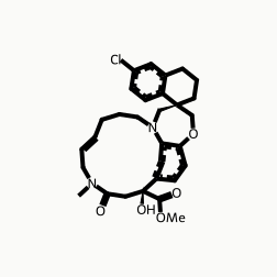 COC(=O)[C@]1(O)CC(=O)N(C)C/C=C/CCCN2C[C@@]3(CCCc4cc(Cl)ccc43)COc3ccc1cc32